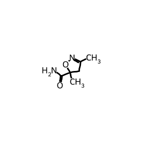 CC1=NOC(C)(C(N)=O)C1